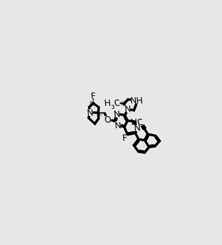 C#Cc1cccc2cccc(-c3ncc4c(N5CCNC[C@@H]5C)nc(OC[C@@]56CCCN5C[C@H](F)C6)nc4c3F)c12